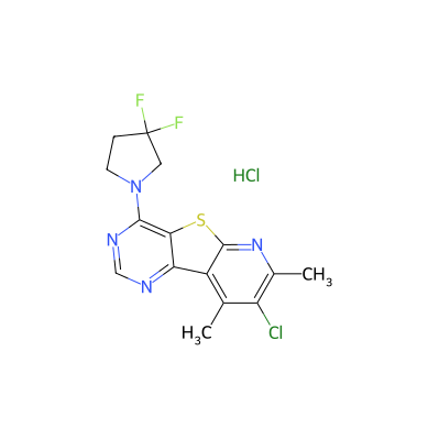 Cc1nc2sc3c(N4CCC(F)(F)C4)ncnc3c2c(C)c1Cl.Cl